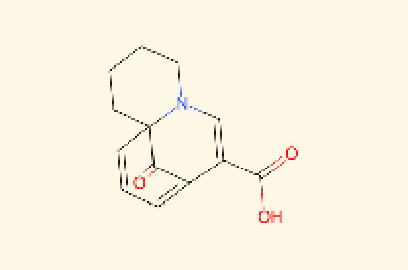 O=C(O)C1=CN2CCCCC23C=CC=C1C3=O